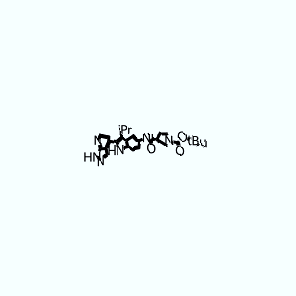 CC(C)c1c(-c2ccnc3[nH]ncc23)[nH]c2ccc(NC(=O)C3CCN(C(=O)OC(C)(C)C)C3)cc12